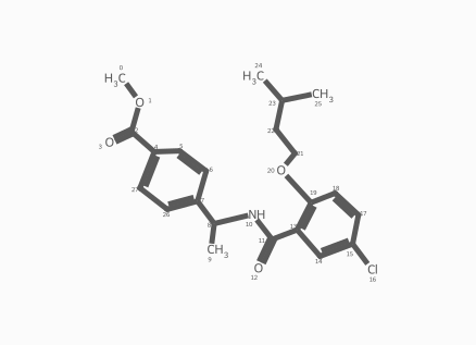 COC(=O)c1ccc(C(C)NC(=O)c2cc(Cl)ccc2OCCC(C)C)cc1